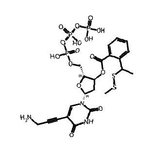 CSSC(C)c1ccccc1C(=O)OC1C[C@H](n2cc(C#CCN)c(=O)[nH]c2=O)O[C@@H]1COP(=O)(O)OP(=O)(O)OP(=O)(O)O